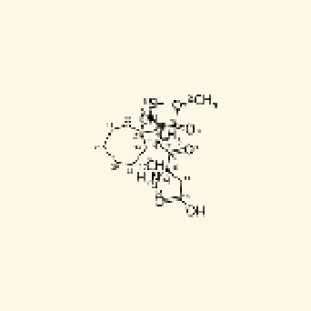 COC(=O)[C@H](CS)N(C(=O)[C@@H](N)CC(=O)O)[C@@]1(C)CCCCCC1(C)C